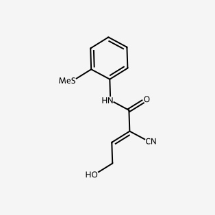 CSc1ccccc1NC(=O)C(C#N)=CCO